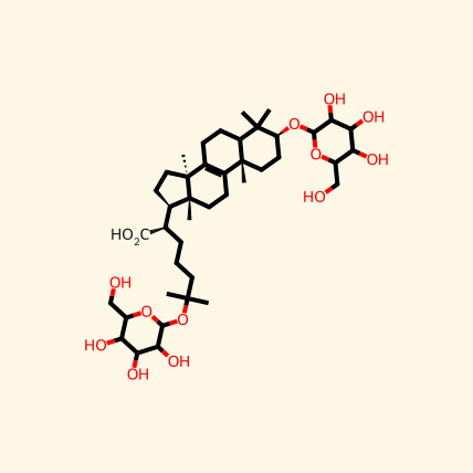 CC(C)(CCC[C@@H](C(=O)O)[C@H]1CC[C@@]2(C)C3=C(CC[C@]12C)[C@@]1(C)CC[C@H](OC2OC(CO)C(O)C(O)C2O)C(C)(C)C1CC3)OC1OC(CO)C(O)C(O)C1O